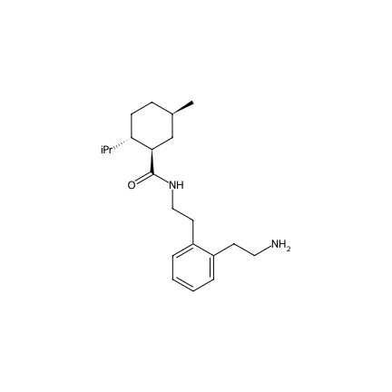 CC(C)[C@@H]1CC[C@@H](C)C[C@H]1C(=O)NCCc1ccccc1CCN